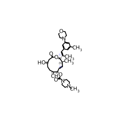 C/C(=C\c1cc(C)cc(N2CCOCC2)c1)[C@H]1OC(=O)C[C@H](O)CC[C@H](C)[C@@H](OC(=O)N2CCN(C)CC2)/C=C/[C@@H]1C